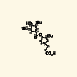 CC(C)(C)c1cc(CCC(=O)O)ccc1OC(=O)c1cc(C(C)(C)C)c(O)c(C(C)(C)C)c1